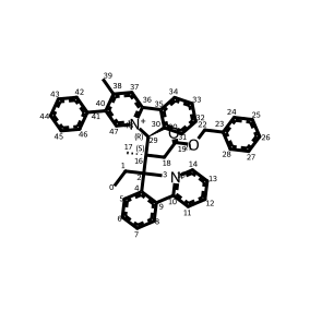 CCC(C)(c1ccccc1-c1ccccn1)[C@](C)(CC(=O)OCc1ccccc1)[C@@H]1c2ccccc2-c2cc(C)c(-c3ccccc3)c[n+]21